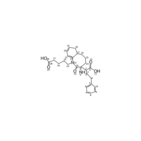 NC1(C(CCc2ccccc2)C(=O)O)CCCC2CC=CC=C2N(CCCCC(=O)O)C1=O